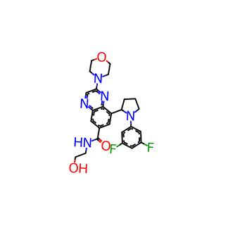 O=C(NCCO)c1cc(C2CCCN2c2cc(F)cc(F)c2)c2nc(N3CCOCC3)cnc2c1